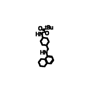 CC(C)(C)S(=O)(=O)NC1CCC(CNc2cccc3c2CCCC3)CC1